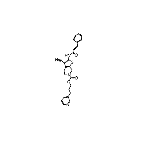 N#Cc1c(NC(=O)C=Cc2ccccc2)sc2c1CCN(C(=O)OCCCc1cccnc1)C2